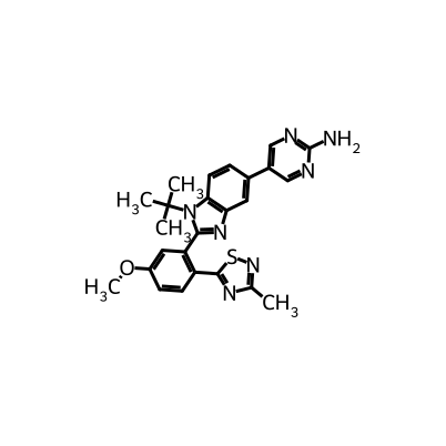 COc1ccc(-c2nc(C)ns2)c(-c2nc3cc(-c4cnc(N)nc4)ccc3n2C(C)(C)C)c1